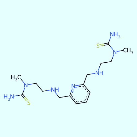 CN(CCNCc1cccc(CNCCN(C)C(N)=S)n1)C(N)=S